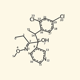 CCC(=NOC)C(O)(c1cccnc1)C(C)c1ccc(Cl)cc1Cl